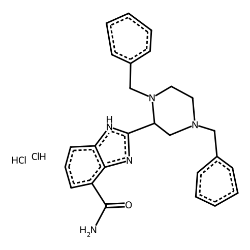 Cl.Cl.NC(=O)c1cccc2[nH]c(C3CN(Cc4ccccc4)CCN3Cc3ccccc3)nc12